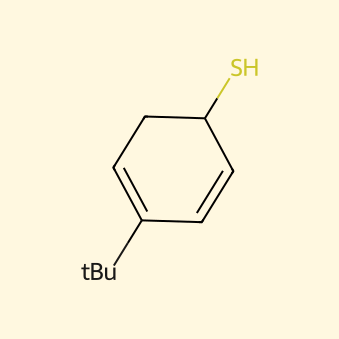 CC(C)(C)C1=CCC(S)C=C1